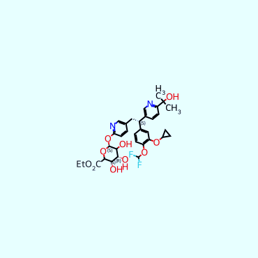 CCOC(=O)C1O[C@@H](Oc2ccc(C[C@H](c3ccc(C(C)(C)O)nc3)c3ccc(OC(F)F)c(OC4CC4)c3)cn2)C(O)[C@H](O)[C@@H]1O